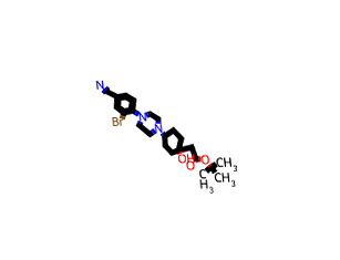 CC(C)(C)OC(=O)CC1(O)CCC(N2CCN(c3ccc(C#N)cc3Br)CC2)CC1